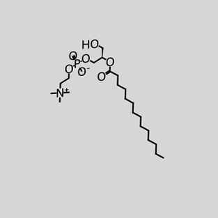 CCCCCCCCCCCCCC(=O)O[C@H](CO)COP(=O)([O-])OCC[N+](C)(C)C